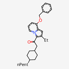 CCCCCC1CCC(CC(=O)c2c(CC)cc3c(OCc4ccccc4)cccn23)CC1